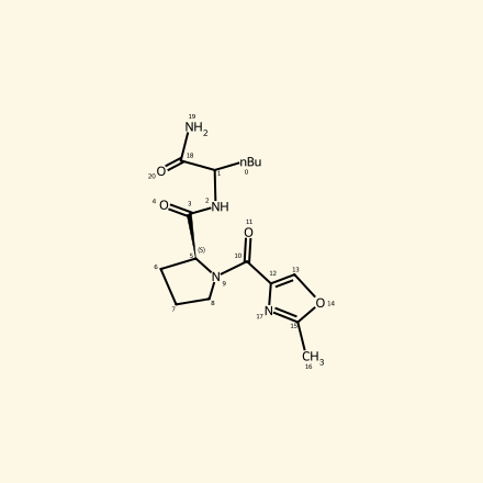 CCCCC(NC(=O)[C@@H]1CCCN1C(=O)c1coc(C)n1)C(N)=O